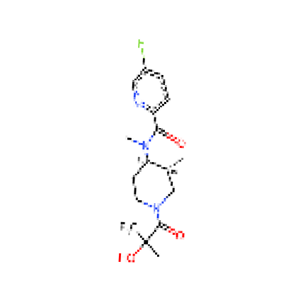 C[C@@H]1CN(C(=O)C(C)(O)C(F)(F)F)CC[C@@H]1N(C)C(=O)c1ccc(F)cn1